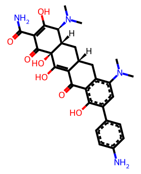 CN(C)c1cc(-c2ccc(N)cc2)c(O)c2c1C[C@H]1C[C@H]3[C@H](N(C)C)C(O)=C(C(N)=O)C(=O)[C@@]3(O)C(O)=C1C2=O